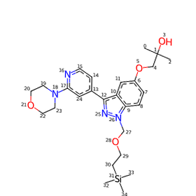 CC(C)(O)COc1ccc2c(c1)c(-c1ccnc(N3CCOCC3)c1)nn2COCC[Si](C)(C)C